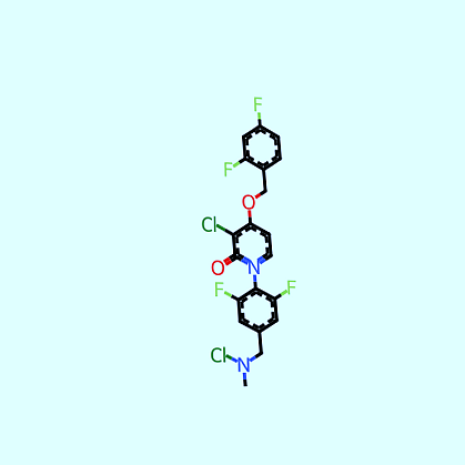 CN(Cl)Cc1cc(F)c(-n2ccc(OCc3ccc(F)cc3F)c(Cl)c2=O)c(F)c1